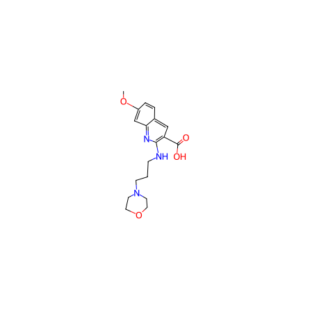 COc1ccc2cc(C(=O)O)c(NCCCN3CCOCC3)nc2c1